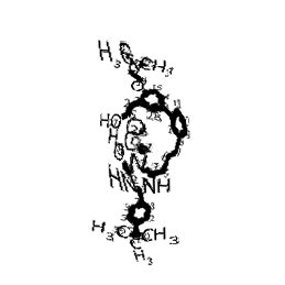 CCN(C(=N)CCCc1cccc(-c2ccc(OCCN(C)C)c(CC(=O)O)c2)c1)C(=O)NCc1ccc(C(C)(C)C)cc1